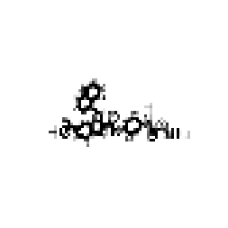 CC(O)c1ccc2cc(C(=O)N[C@H]3CC[C@H](NC(=O)OC(C)(C)C)CC3)n(Cc3cccc4ccccc34)c2c1